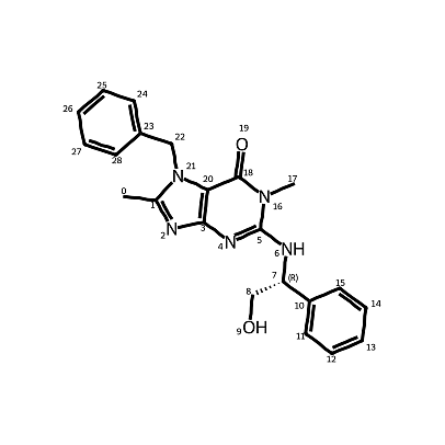 Cc1nc2nc(N[C@@H](CO)c3ccccc3)n(C)c(=O)c2n1Cc1ccccc1